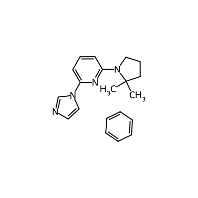 CC1(C)CCCN1c1cccc(-n2ccnc2)n1.c1ccccc1